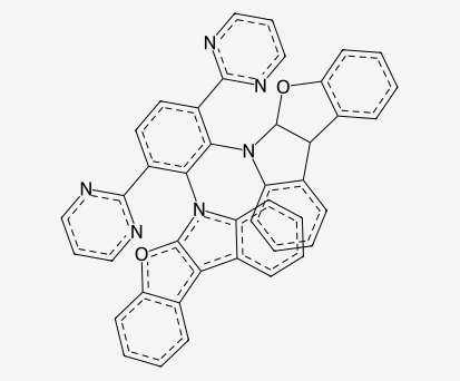 c1cnc(-c2ccc(-c3ncccn3)c(-n3c4ccccc4c4c5ccccc5oc43)c2N2c3ccccc3C3c4ccccc4OC32)nc1